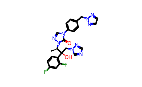 C[C@@H](n1ncn(-c2ccc(Cn3nccn3)cc2)c1=O)[C@](O)(Cn1cncn1)c1ccc(F)cc1F